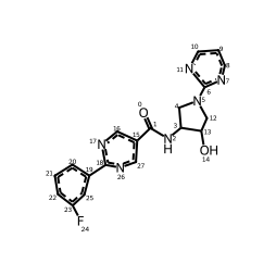 O=C(NC1CN(c2ncccn2)CC1O)c1cnc(-c2cccc(F)c2)nc1